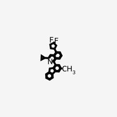 Cc1cc2c(c(-c3nc(C4CC4)cc4c(C5CCC(F)(F)C5)cccc34)c1)Cc1ccccc1-2